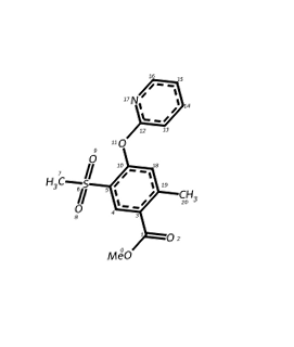 COC(=O)c1cc(S(C)(=O)=O)c(Oc2ccccn2)cc1C